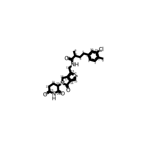 Cc1ccc(CCC(C)C(=O)NCc2scc3c2CN(C2CCC(=O)NC2=O)C3=O)cc1Cl